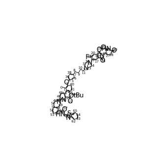 Cc1c(Oc2ccc(CCCCN3CCN(c4cc5c(cc4F)C(=O)N(C4CCC(=O)NC4=O)C5=O)CC3)cc2)cccc1-c1ccc(N2CCc3cccc(C(=O)Nc4nc5ccccc5s4)c3C2)nc1C(=O)OC(C)(C)C